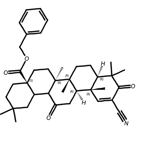 CC1(C)CC[C@]2(C(=O)OCc3ccccc3)CC[C@]3(C)C(C(=O)C[C@@H]4[C@@]5(C)C=C(C#N)C(=O)C(C)(C)[C@@H]5CC[C@]43C)C2C1